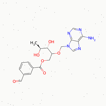 C[C@H](O)[C@H](O)C(COC(=O)c1cccc(C=O)c1)OCn1cnc2c(N)ncnc21